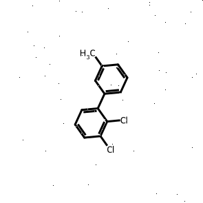 Cc1cccc(-c2cccc(Cl)c2Cl)c1